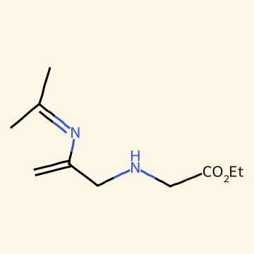 C=C(CNCC(=O)OCC)N=C(C)C